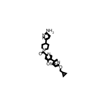 COc1cc(C(=O)N2CCC(c3ccc(N)nn3)CC2)ncc1-c1ccc(OCC2CC2)nc1